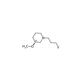 CO[C@H]1CCCN(CCCF)C1